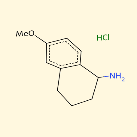 COc1ccc2c(c1)CCCC2N.Cl